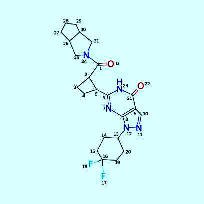 O=C(C1CCC1c1nc2c(cnn2C2CCC(F)(F)CC2)c(=O)[nH]1)N1CC2CCCC2C1